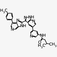 Cc1ccc(-c2cncc3[nH]c(-c4n[nH]c5ncc(-c6cncc(NC(=O)CC(C)C)c6)cc45)nc23)cc1